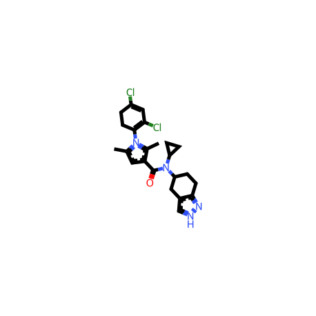 Cc1cc(C(=O)N(C2CC2)C2CCc3n[nH]cc3C2)c(C)n1C1=C(Cl)C=C(Cl)CC1